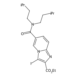 CCOC(=O)c1nc2ccc(C(=O)N(CCC(C)C)CCC(C)C)cn2c1I